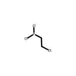 CCCCP(Cl)Cl